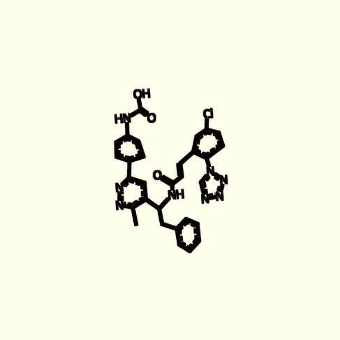 Cc1nnc(-c2ccc(NC(=O)O)cc2)cc1C(Cc1ccccc1)NC(=O)C=Cc1cc(Cl)ccc1-n1cnnn1